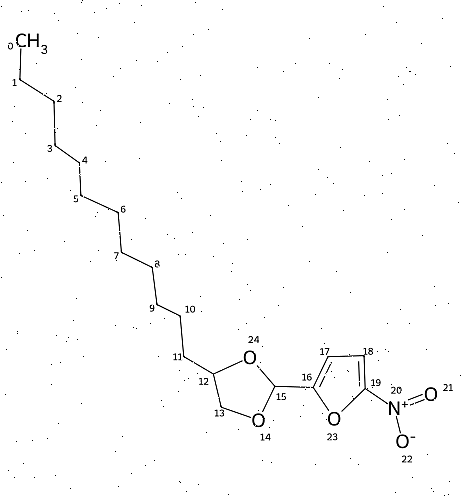 CCCCCCCCCCCCC1COC(c2ccc([N+](=O)[O-])o2)O1